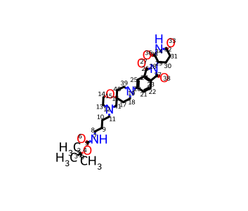 CC(C)(C)OC(=O)NCCCCN1CCOC2(CCN(c3ccc4c(c3)C(=O)N(C3CCC(=O)NC3=O)C4=O)CC2)C1